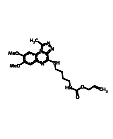 C=CCOC(=O)NCCCCNc1nc2cc(OC)c(OC)cc2n2c(C)nnc12